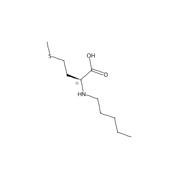 CCCCCN[C@@H](CCSC)C(=O)O